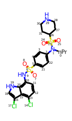 CCCN(c1ccc(S(=O)(=O)Nc2ccc(Cl)c3c(Cl)c[nH]c23)cc1)S(=O)(=O)C1CCNCC1